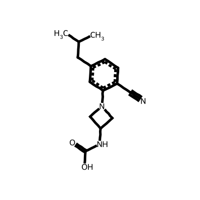 CC(C)Cc1ccc(C#N)c(N2CC(NC(=O)O)C2)c1